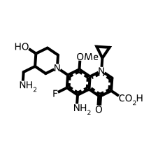 COc1c(N2CCC(O)C(CN)C2)c(F)c(N)c2c(=O)c(C(=O)O)cn(C3CC3)c12